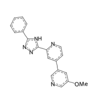 COc1cncc(-c2ccnc(-c3nnc(-c4ccccc4)[nH]3)c2)c1